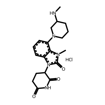 CNC1CCCN(c2cccc3c2n(C)c(=O)n3C2CCC(=O)NC2=O)C1.Cl